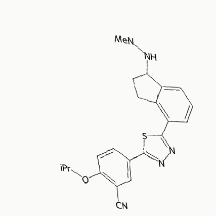 CNNC1CCc2c(-c3nnc(-c4ccc(OC(C)C)c(C#N)c4)s3)cccc21